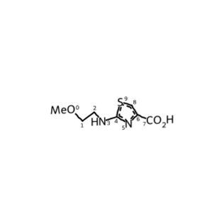 COCCNc1nc(C(=O)O)cs1